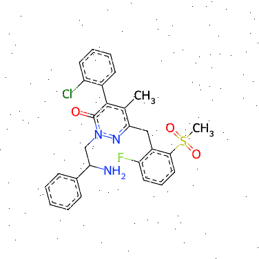 Cc1c(Cc2c(F)cccc2S(C)(=O)=O)nn(CC(N)c2ccccc2)c(=O)c1-c1ccccc1Cl